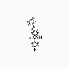 Cc1c(-c2ccc(F)cc2)[nH]c2ccc(CCc3ccccc3)cc12